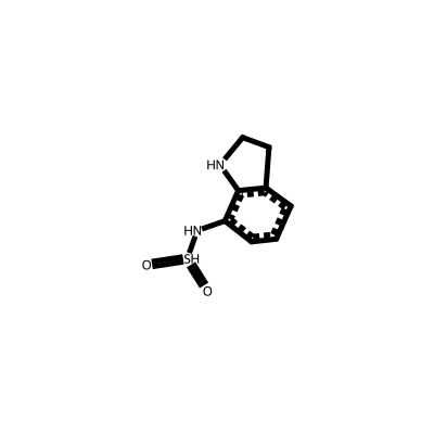 O=[SH](=O)Nc1cccc2c1NCC2